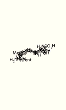 CCCCCNc1nc(N)nc2ccn(Cc3ccc(CN4CCN(CCn5cc(CNC(=O)C[C@H](SC[C@H](N)C(=O)O)C(O)O)nn5)CC4)cc3OC)c12